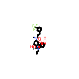 C=CCN1CC(O)[C@]23c4c5ccc(O)c4OC2C(N(C)C(=O)/C=C/c2cccc(C(F)(F)F)c2)CC[C@@]3(O)[C@H]1C5